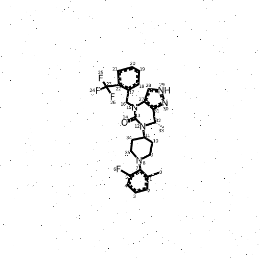 Cc1cccc(F)c1N1CCC(N2C(=O)N(Cc3ccccc3C(F)(F)F)c3c[nH]nc3[C@@H]2C)CC1